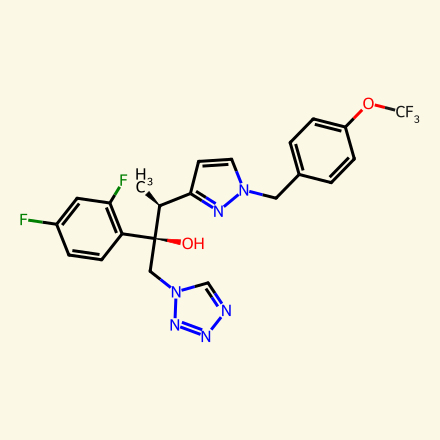 C[C@@H](c1ccn(Cc2ccc(OC(F)(F)F)cc2)n1)[C@](O)(Cn1cnnn1)c1ccc(F)cc1F